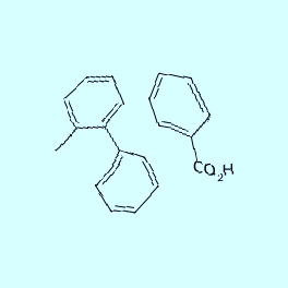 Cc1ccccc1-c1ccccc1.O=C(O)c1ccccc1